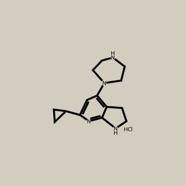 Cl.c1c(C2CC2)nc2c(c1N1CCNCC1)CCN2